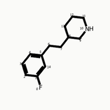 Fc1cccc(CCC2[CH]NCCC2)c1